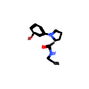 N#CCNC(=O)[C@H]1CCCN1c1cccc(Br)c1